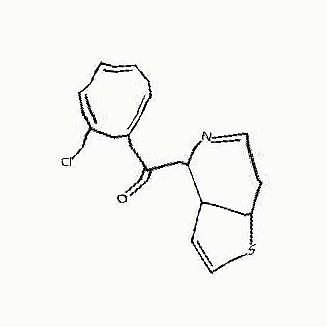 O=C(c1ccccc1Cl)C1N=CCC2SC=CC21